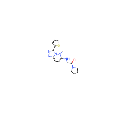 CN1C(NCC(=O)N2CCCC2)=CC=C2N=NC(c3cccs3)N21